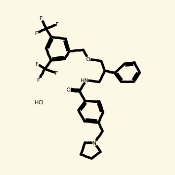 Cl.O=C(NCC(COCc1cc(C(F)(F)F)cc(C(F)(F)F)c1)c1ccccc1)c1ccc(CN2CCCC2)cc1